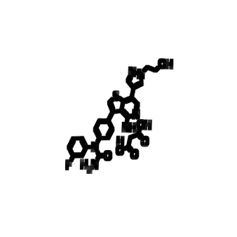 NC(=O)N(c1ccc(-c2csc3c(-c4cnn(CCO)c4)cnc(N)c23)cc1)c1cccc(F)c1.O=C(O)CC(=O)O